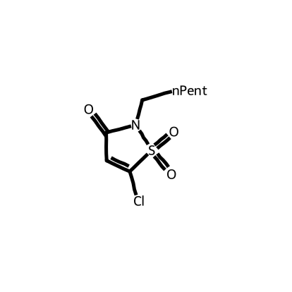 CCCCCCN1C(=O)C=C(Cl)S1(=O)=O